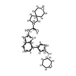 O=C(Nc1nc2cncc(-c3cnn(C[C@H]4CCCOC4)c3)c2s1)N1CCC2(CCOCC2)C1